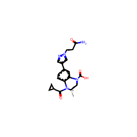 C[C@H]1CN(C(=O)O)c2cc(-c3cnn(CCC(N)=O)c3)ccc2N1C(=O)C1CC1